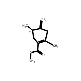 C=C1CC(C)=C(C(=O)OC)C[C@H]1C